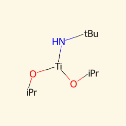 CC(C)[O][Ti]([NH]C(C)(C)C)[O]C(C)C